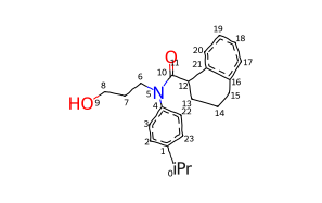 CC(C)c1ccc(N(CCCO)C(=O)C2CCCc3ccccc32)cc1